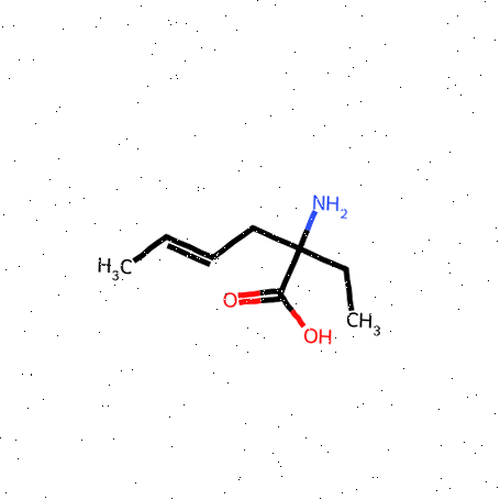 CC=CCC(N)(CC)C(=O)O